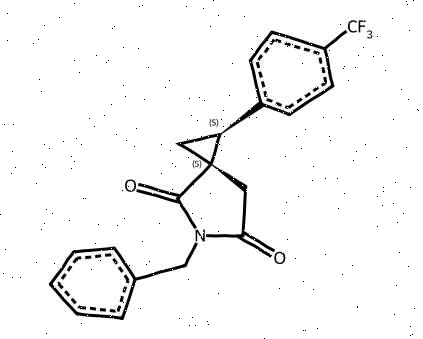 O=C1C[C@]2(C[C@H]2c2ccc(C(F)(F)F)cc2)C(=O)N1Cc1ccccc1